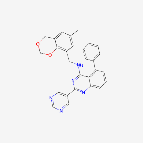 Cc1cc(CNc2nc(-c3cncnc3)nc3cccc(-c4ccccc4)c23)c2c(c1)COCO2